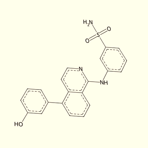 NS(=O)(=O)c1cccc(Nc2nccc3c(-c4cccc(O)c4)cccc23)c1